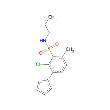 CCCNS(=O)(=O)c1c(C)ccc(-n2cccc2)c1Cl